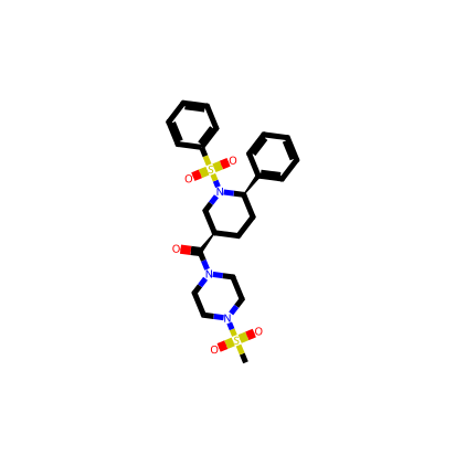 CS(=O)(=O)N1CCN(C(=O)[C@@H]2CC[C@H](c3ccccc3)N(S(=O)(=O)c3ccccc3)C2)CC1